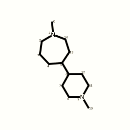 CN1CCCC(C2CCN(C)CC2)CC1